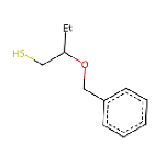 CCC(CS)OCc1ccccc1